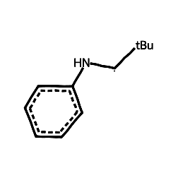 CC(C)(C)[CH]Nc1ccccc1